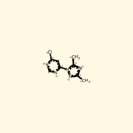 Cc1nc(C)n(-c2cc(Cl)ncn2)n1